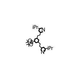 CC(C)c1cncc(CCc2cc(CCc3cncc(C(C)C)c3)cc(B3OC(C)(C)C(C)(C)O3)c2)c1